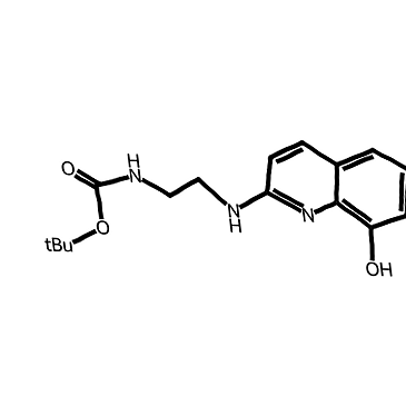 CC(C)(C)OC(=O)NCCNc1ccc2cccc(O)c2n1